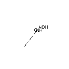 CCCCCCCCC=CCCCCCCCCCCCC(=O)NCCC[N+](C)(C)CCO